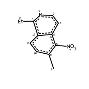 CCc1nccc2c([N+](=O)[O-])c(C)ccc12